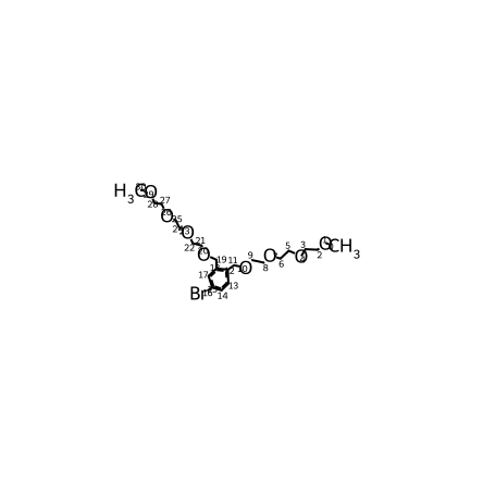 COCCOCCOCCOCc1ccc(Br)cc1COCCOCCOCCOC